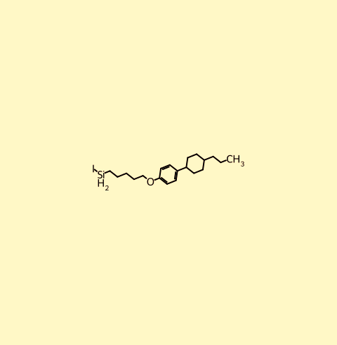 CCCC1CCC(c2ccc(OCCCCC[SiH2]I)cc2)CC1